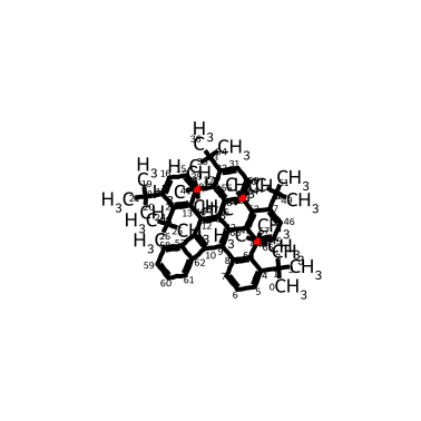 CC(C)(C)c1cccc(-c2c3c(c(-c4cccc(C(C)(C)C)c4C(C)(C)C)c(-c4cccc(C(C)(C)C)c4C(C)(C)C)c2-c2cccc(C(C)(C)C)c2C(C)(C)C)-c2ccccc2-3)c1C(C)(C)C